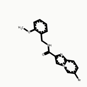 COc1ccccc1CNC(=O)c1cn2cc(Br)ccc2n1